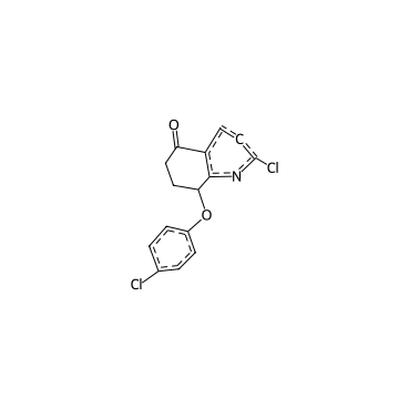 O=C1CCC(Oc2ccc(Cl)cc2)c2nc(Cl)ccc21